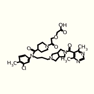 Cc1ccc(N(CCCN2CC3CN(C(=O)c4c(C)ncnc4C)CC3C2)C(=O)C2CCN(C(=O)COCC(=O)O)CC2)cc1Cl